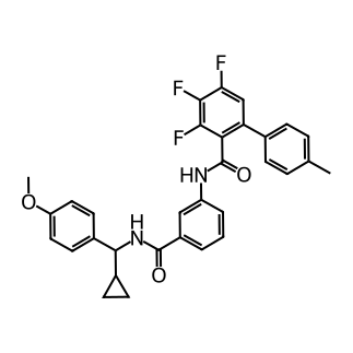 COc1ccc(C(NC(=O)c2cccc(NC(=O)c3c(-c4ccc(C)cc4)cc(F)c(F)c3F)c2)C2CC2)cc1